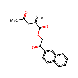 C=C(CC(=O)OC)C(=O)OCC(=O)c1ccc2ccccc2c1